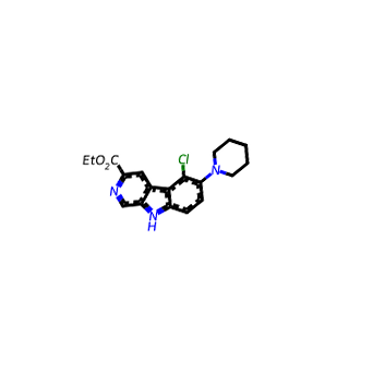 CCOC(=O)c1cc2c(cn1)[nH]c1ccc(N3CCCCC3)c(Cl)c12